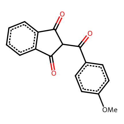 COc1ccc(C(=O)C2C(=O)c3ccccc3C2=O)cc1